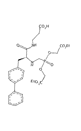 CCOC(=O)COP(=O)(CN[C@@H](Cc1ccc(-c2ccccc2)cc1)C(=O)NCCC(=O)O)OCC(=O)OCC